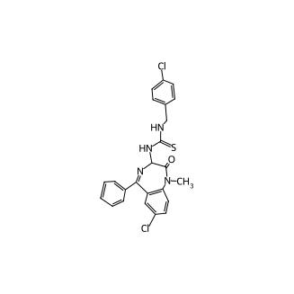 CN1C(=O)C(NC(=S)NCc2ccc(Cl)cc2)N=C(c2ccccc2)c2cc(Cl)ccc21